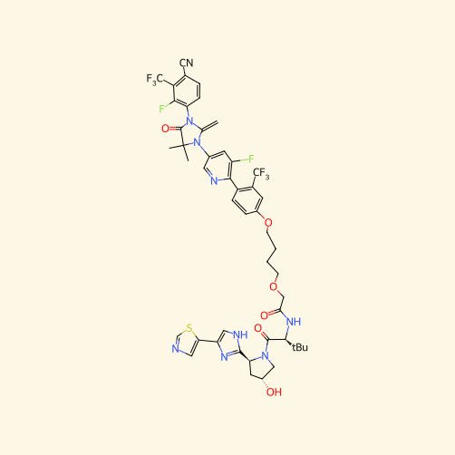 C=C1N(c2ccc(C#N)c(C(F)(F)F)c2F)C(=O)C(C)(C)N1c1cnc(-c2ccc(OCCCCOCC(=O)N[C@H](C(=O)N3C[C@H](O)C[C@H]3c3nc(-c4cncs4)c[nH]3)C(C)(C)C)cc2C(F)(F)F)c(F)c1